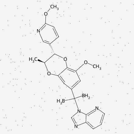 BC(B)(c1cc(OC)c2c(c1)O[C@@H](C)[C@H](c1ccc(OC)nc1)O2)n1cnc2cccnc21